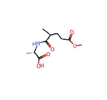 COC(=O)CCC(C)C(=O)N[C@@H](C)C(=O)O